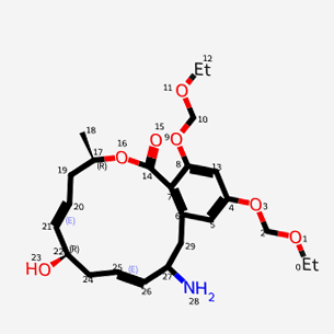 CCOCOc1cc2c(c(OCOCC)c1)C(=O)O[C@H](C)C/C=C/[C@H](O)C/C=C/C(N)C2